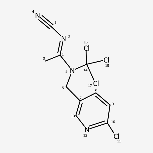 C/C(=N\C#N)N(Cc1ccc(Cl)nc1)C(Cl)(Cl)Cl